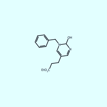 CCOC(=O)CCC1=CN(Cc2ccccc2)C(O)N=C1